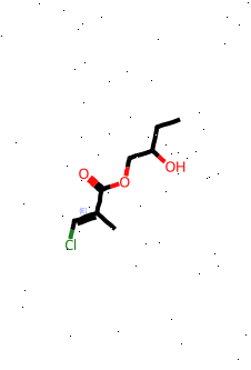 CCC(O)COC(=O)/C(C)=C/Cl